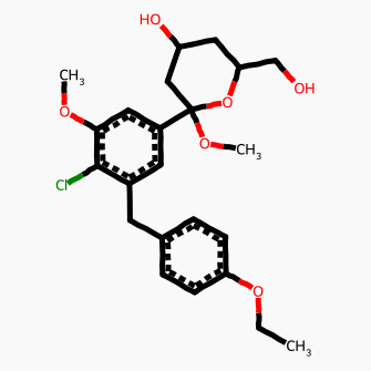 CCOc1ccc(Cc2cc(C3(OC)CC(O)CC(CO)O3)cc(OC)c2Cl)cc1